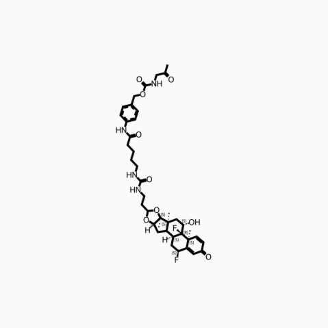 CC(=O)CNC(=O)OCc1ccc(NC(=O)CCCCNC(=O)NCCC2O[C@@H]3CC4[C@@H]5C[C@H](F)C6=CC(=O)C=C[C@]6(C)[C@@]5(F)[C@@H](O)C[C@]4(C)[C@]3(C)O2)cc1